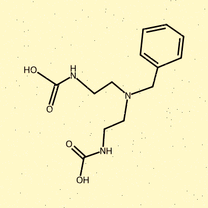 O=C(O)NCCN(CCNC(=O)O)Cc1ccccc1